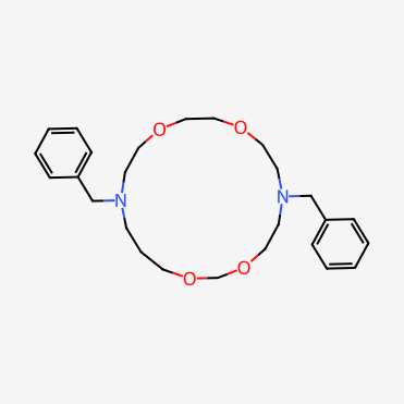 c1ccc(CN2CCCOCOCCN(Cc3ccccc3)CCOCCOCC2)cc1